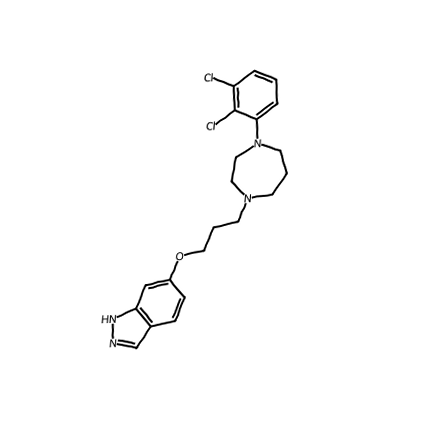 Clc1cccc(N2CCCN(CCCOc3ccc4cn[nH]c4c3)CC2)c1Cl